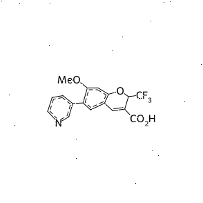 COc1cc2c(cc1-c1cccnc1)C=C(C(=O)O)C(C(F)(F)F)O2